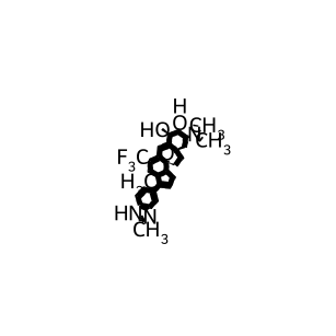 Cc1nc2cc(C3=CCC4[C@]3(C)CC(C(F)(F)F)=C3C=C5[C@@H](O)[C@H](O)[C@@H](N(C)C)C[C@]56CC[C@@]34O6)ccc2[nH]1